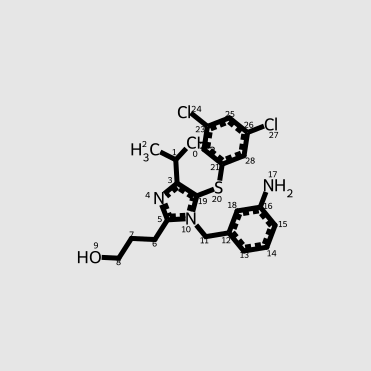 CC(C)c1nc(CCCO)n(Cc2cccc(N)c2)c1Sc1cc(Cl)cc(Cl)c1